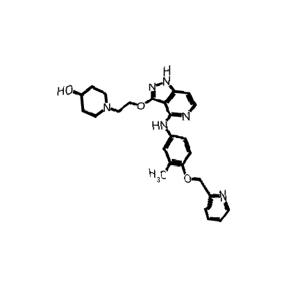 Cc1cc(Nc2nccc3[nH]nc(OCCN4CCC(O)CC4)c23)ccc1OCc1ccccn1